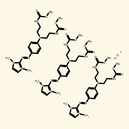 Cn1cc[n+](C)c1N=Nc1ccc(N(CCNC(=O)OC(C)(C)C)CCNC(=O)OC(C)(C)C)cc1.Cn1cc[n+](C)c1N=Nc1ccc(N(CCNC(=O)OC(C)(C)C)CCNC(=O)OC(C)(C)C)cc1.Cn1cc[n+](C)c1N=Nc1ccc(N(CCNC(=O)OC(C)(C)C)CCNC(=O)OC(C)(C)C)cc1.[Cl-].[Cl-].[I-]